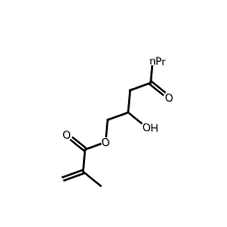 C=C(C)C(=O)OCC(O)CC(=O)CCC